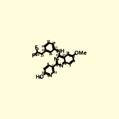 COc1ccc2nc(-c3ccc(O)nc3)nc(Nc3cccc(CC(F)F)c3)c2c1